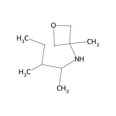 CCC(C)C(C)NC1(C)COC1